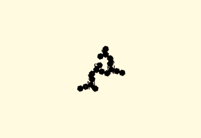 C1=C(c2ccccc2)CCC(c2nc(-c3ccccc3)nc(-c3ccc4c(c3)sc3ccc(-c5cc(-c6ccc(-c7cccc(-c8nc(-c9ccc(-c%10ccccc%10)cc9)nc(-c9ccc%10c(c9)sc9ccc(-c%11cc(-c%12ccccc%12)c%12sc%13ccccc%13c%12c%11)cc9%10)n8)c7)cc6)c6c(c5)sc5ccccc56)cc34)n2)=C1